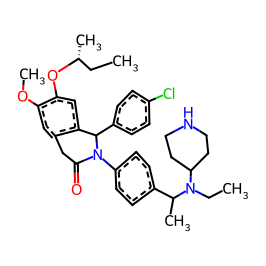 CC[C@@H](C)Oc1cc2c(cc1OC)CC(=O)N(c1ccc(C(C)N(CC)C3CCNCC3)cc1)C2c1ccc(Cl)cc1